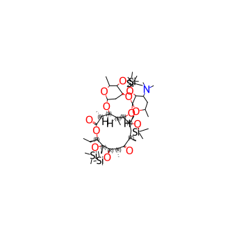 CC[C@H]1OC(=O)[C@H](C)[C@H]2OC3CC(C)(OC4(OC(C)CC(N(C)C)C4O[Si](C)(C)C)O[C@H]([C@H]2C)[C@](C)(O[Si](C)(C)C)C[C@@H](C)C(=O)[C@H](C)[C@@H](O[Si](C)(C)C)[C@]1(C)O[Si](C)(C)C)C(O[Si](C)(C)C)C(C)O3